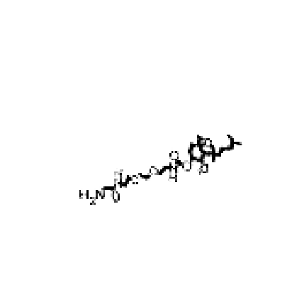 COC1C(OC(=O)NCCOCCOCCNC(=O)CN)CC[C@]2(CO2)C1C(C)(C)CCC=C(C)C